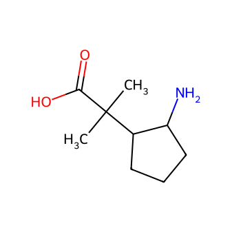 CC(C)(C(=O)O)C1CCCC1N